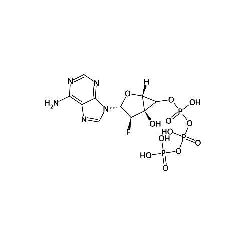 Nc1ncnc2c1ncn2[C@@H]1O[C@@H]2C(OP(=O)(O)OP(=O)(O)OP(=O)(O)O)[C@]2(O)[C@H]1F